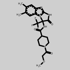 COCC(=O)N1CCC(C(=O)NC2(C(F)(F)F)C(=O)Nc3nc4cc(C)c(C)cc4n32)CC1